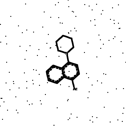 CC(=O)c1ccc(N2CCCCC2)c2ccccc12